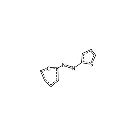 c1ccc(N=Nc2cccs2)cc1